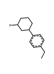 CCc1ccc(C2CCCC(F)C2)cc1